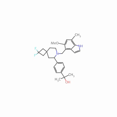 COc1cc(C)c2[nH]ccc2c1CN1CCC2(CC1c1ccc(C(C)(C)O)cc1)CC(F)(F)C2